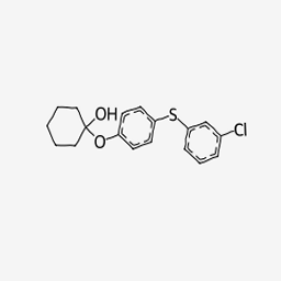 OC1(Oc2ccc(Sc3cccc(Cl)c3)cc2)CCCCC1